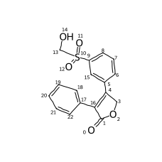 O=C1OCC(c2cccc(S(=O)(=O)CO)c2)=C1c1ccccc1